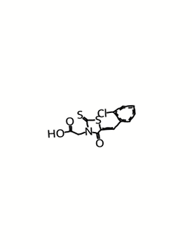 O=C(O)CN1C(=O)C(=Cc2ccccc2Cl)SC1=S